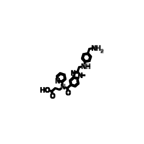 Cn1c(CNc2ccc(CN)cc2)nc2cc(C(=O)N(CCC(=O)O)c3ccccn3)ccc21